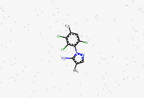 Nc1c([N+](=O)[O-])cnn1-c1c(Cl)cc(C(F)(F)F)c(Cl)c1Cl